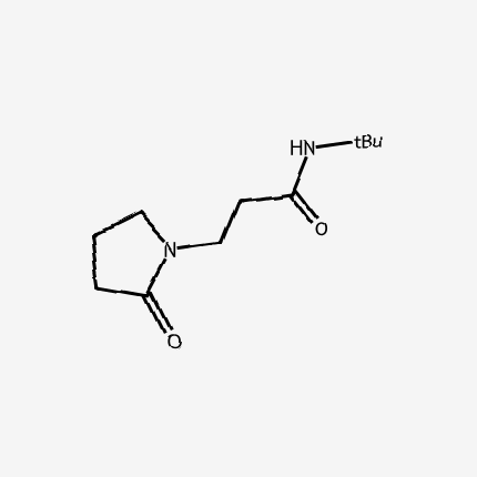 CC(C)(C)NC(=O)CCN1CCCC1=O